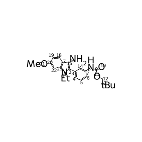 CCn1c(-c2cccc(NC(=O)OCC(C)(C)C)c2)c(N)c2ccc(OC)cc21